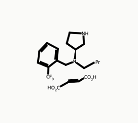 CC(C)CN(Cc1ccccc1C(F)(F)F)[C@H]1CCNC1.O=C(O)/C=C/C(=O)O